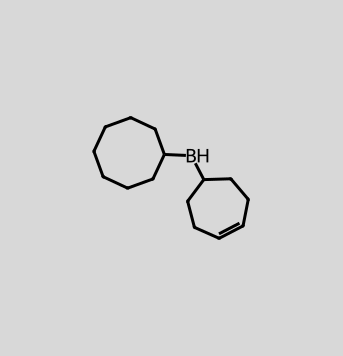 B(C1CCC=CCC1)C1CCCCCCC1